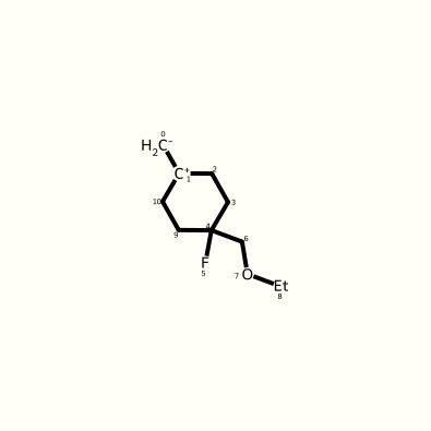 [CH2-][C+]1CCC(F)(COCC)CC1